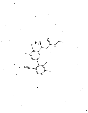 CCOC(=O)CC(N)c1cc(-c2c(C#N)ccc(C)c2C)cc(C)c1F